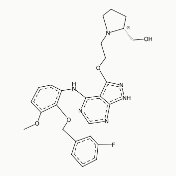 COc1cccc(Nc2ncnc3[nH]nc(OCCN4CCC[C@@H]4CO)c23)c1OCc1cccc(F)c1